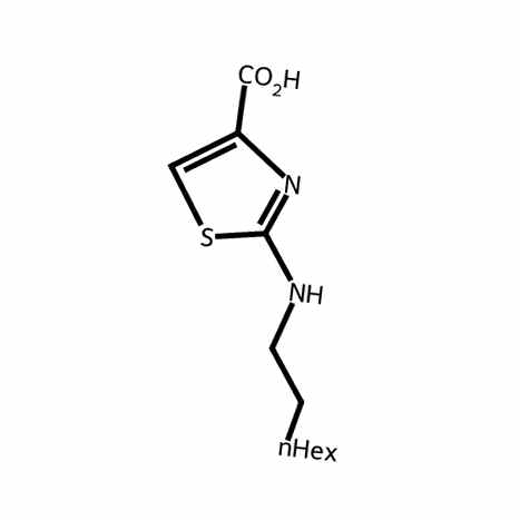 CCCCCCCCNc1nc(C(=O)O)cs1